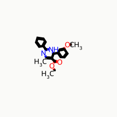 CCOC(=O)C1=C(C)N=C(c2ccccc2)NC1c1cccc(OC)c1